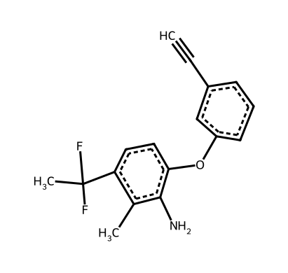 C#Cc1cccc(Oc2ccc(C(C)(F)F)c(C)c2N)c1